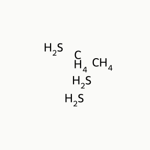 C.C.S.S.S